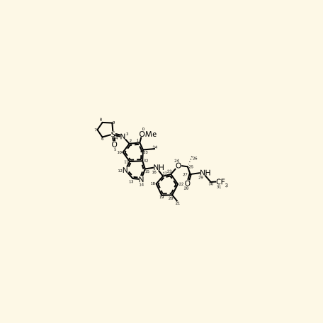 COc1c(N=S2(=O)CCCC2)cc2ncnc(Nc3ccc(C)cc3O[C@H](C)C(=O)NCC(F)(F)F)c2c1C